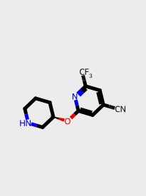 N#Cc1cc(O[C@@H]2CCCNC2)nc(C(F)(F)F)c1